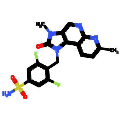 Cc1ccc2c(ncc3c2n(Cc2c(F)cc(S(N)(=O)=O)cc2F)c(=O)n3C)n1